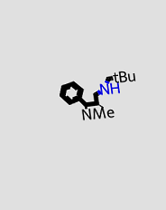 CN[C@@H](c1ccccc1)[C@@H](C)CNCC(C)(C)C